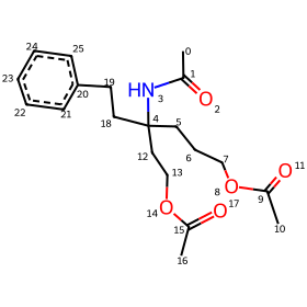 CC(=O)NC(CCCOC(C)=O)(CCOC(C)=O)CCc1ccccc1